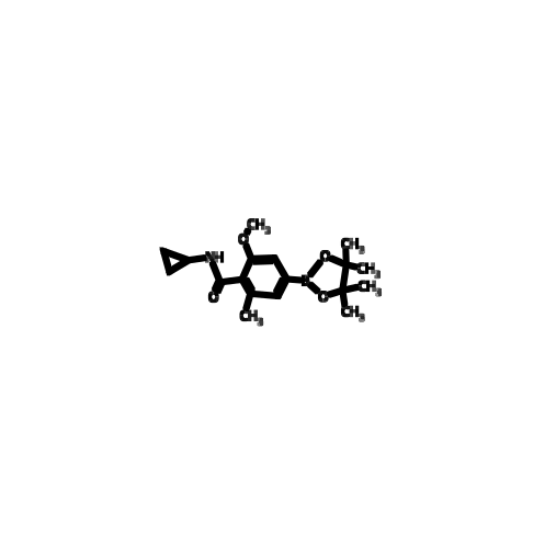 COc1cc(B2OC(C)(C)C(C)(C)O2)cc(C)c1C(=O)NC1CC1